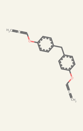 C=C=COc1ccc(Cc2ccc(OC=C=C)cc2)cc1